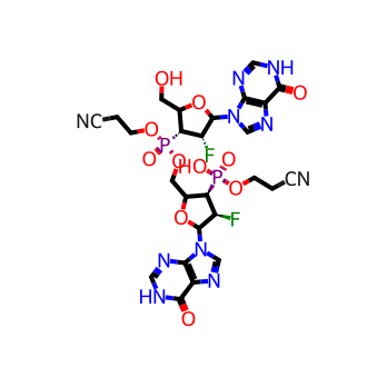 N#CCCOP(=O)(O)[C@@H]1C(COP(=O)(OCCC#N)[C@@H]2C(CO)OC(n3cnc4c(=O)[nH]cnc43)[C@@H]2F)OC(n2cnc3c(=O)[nH]cnc32)[C@@H]1F